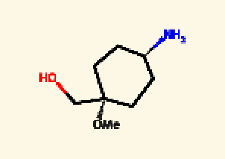 CO[C@]1(CO)CC[C@H](N)CC1